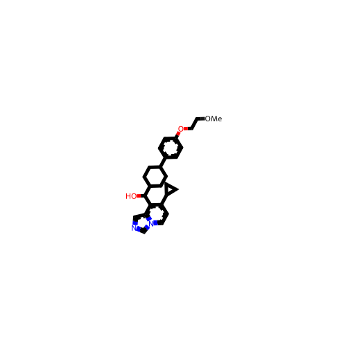 COCCOc1ccc(C2CCC(C(O)c3c(C4CC4)ccn4cncc34)CC2)cc1